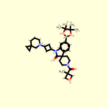 CC1(C(=O)N2CCC3(CC2)C(=O)N(C2CC(N4CCCC5(CC5)C4)C2)c2cc(B4OC(C)(C)C(C)(C)O4)ccc23)COC1